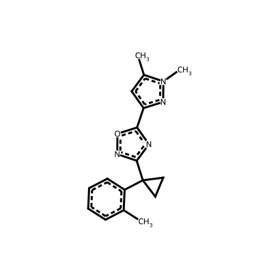 Cc1ccccc1C1(c2noc(-c3cc(C)n(C)n3)n2)CC1